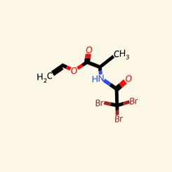 C=COC(=O)C(C)NC(=O)C(Br)(Br)Br